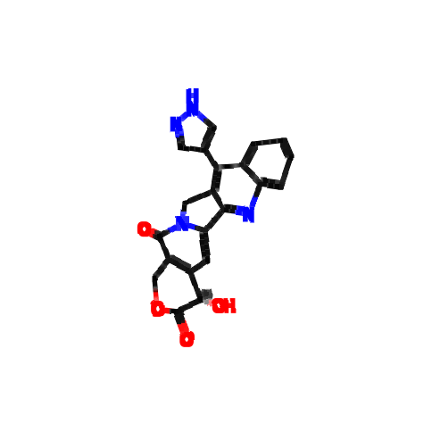 O=C1OCc2c(cc3n(c2=O)Cc2c-3nc3ccccc3c2-c2cn[nH]c2)[C@@H]1O